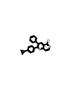 Clc1nccc2nc(-c3ccc(C4CC4)cc3)c(-c3ccccc3)cc12